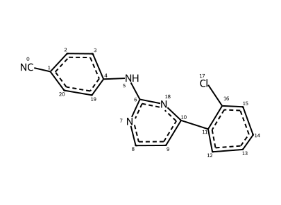 N#Cc1ccc(Nc2nccc(-c3ccccc3Cl)n2)cc1